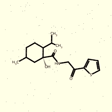 CC1CCC(C(C)C)[C@@](O)(C(=O)NCC(=O)c2cccs2)C1